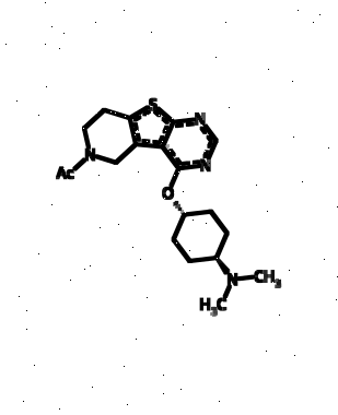 CC(=O)N1CCc2sc3ncnc(O[C@H]4CC[C@H](N(C)C)CC4)c3c2C1